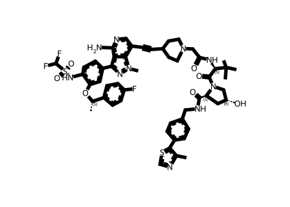 Cc1ncsc1-c1ccc(CNC(=O)[C@@H]2C[C@@H](O)CN2C(=O)[C@@H](NC(=O)CN2CCC(C#Cc3cnc(N)c4c(-c5ccc(NS(=O)(=O)C(F)F)c(O[C@@H](C)c6ccc(F)cc6)c5)nn(C)c34)CC2)C(C)(C)C)cc1